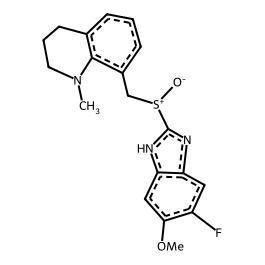 COc1cc2[nH]c([S+]([O-])Cc3cccc4c3N(C)CCC4)nc2cc1F